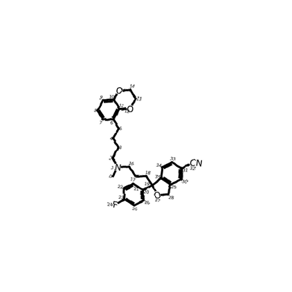 CN(CCCCc1cccc2c1OCCO2)CCCC1(c2ccc(F)cc2)OCc2cc(C#N)ccc21